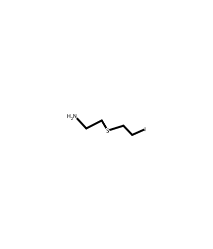 NCCSCCI